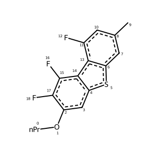 CCCOc1cc2sc3cc(C)cc(F)c3c2c(F)c1F